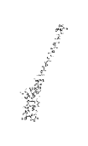 CC[C@H](C)[C@@H]([C@@H](CC(=O)N1CCC[C@H]1[C@H](OC)[C@@H](C)C(=O)N[C@H](C)[C@@H](O)c1ccccc1)OC)N(C)C(=O)[C@@H](NC(=O)C(C)(C)N(C)C(=O)CCOCCOCCOCCOCCOCCOCCN1C(=O)C=CC1=O)C(C)C